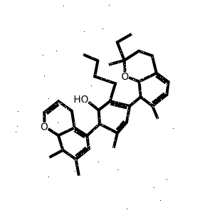 CCCCC1=C(C2C(C)=CC=C3CCC(C)(CC)OC32)C=C(C)C(C2=C3CC=COC3C(C)C(C)=C2)C1O